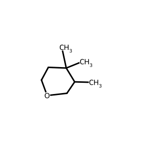 CC1COCCC1(C)C